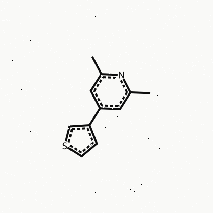 Cc1cc(-c2ccsc2)cc(C)n1